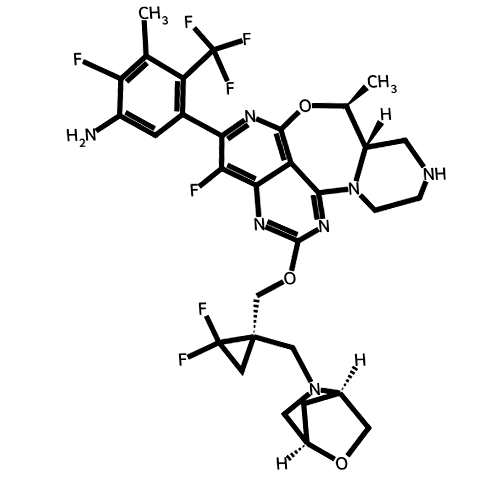 Cc1c(F)c(N)cc(-c2nc3c4c(nc(OC[C@]5(CN6C[C@H]7C[C@@H]6CO7)CC5(F)F)nc4c2F)N2CCNC[C@H]2[C@H](C)O3)c1C(F)(F)F